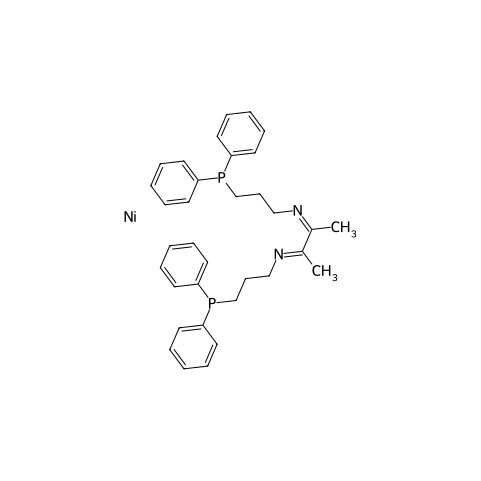 CC(=NCCCP(c1ccccc1)c1ccccc1)C(C)=NCCCP(c1ccccc1)c1ccccc1.[Ni]